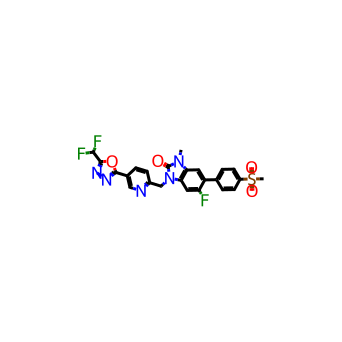 Cn1c(=O)n(Cc2ccc(-c3nnc(C(F)F)o3)cn2)c2cc(F)c(-c3ccc(S(C)(=O)=O)cc3)cc21